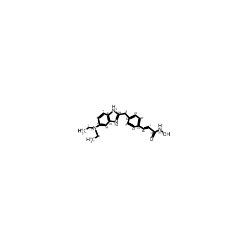 CCN(CC)c1ccc2[nH]c(Cc3ccc(/C=C/C(=O)NO)cc3)nc2c1